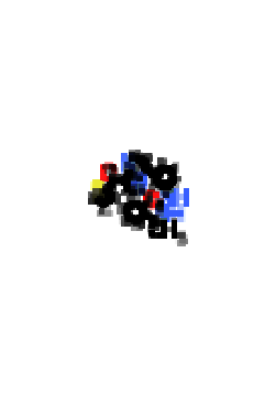 C[C@H](NC(=O)Nc1cccc(-c2ccnc3c(C(=O)c4cccs4)cnn23)c1)c1ccccc1